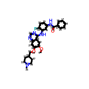 COc1cc2c(Nc3cc(NC(=O)c4ccccc4)ccc3F)ncnc2cc1OCC1CCN(C)CC1